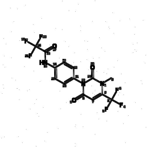 Cn1c(C(F)(F)F)cc(=O)n(-c2ccc(NC(=O)C(F)(F)F)cc2)c1=O